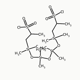 CC(C[Si](C)(C)O[Si](C)(C)O[Si](C)(C)O[Si](C)(C)CC(C)S(=O)(=O)Cl)S(=O)(=O)Cl